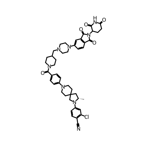 C[C@H]1CC2(CCN(c3ccc(C(=O)N4CCC(CN5CCN(c6ccc7c(c6)C(=O)N(C6CCC(=O)NC6=O)C7=O)CC5)CC4)cc3)CC2)CN1c1ccc(C#N)c(Cl)c1